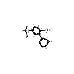 C[N+](C)(C)c1ccc(C=O)c(-c2ccccc2)c1